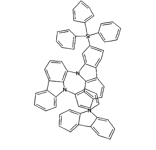 c1ccc(-n2c3ccccc3c3cccc(-n4c5cc(-n6c7ccccc7c7ccccc76)ccc5c5ccc([Si](c6ccccc6)(c6ccccc6)c6ccccc6)cc54)c32)cc1